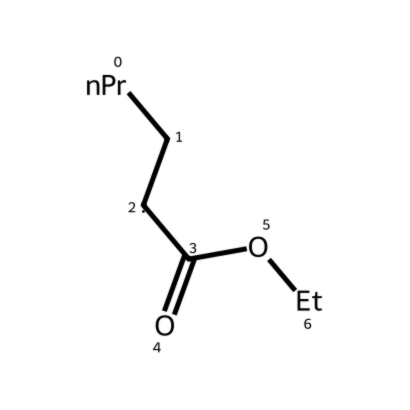 CCCC[CH]C(=O)OCC